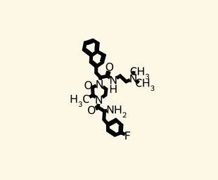 CC1C(=O)N(C(Cc2ccc3ccccc3c2)C(=O)NCCN(C)C)CCN1C(=O)C(N)Cc1ccc(F)cc1